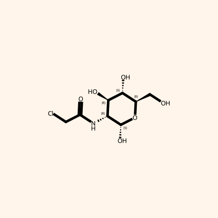 O=C(CCl)N[C@@H]1[C@@H](O)[C@H](O)[C@@H](CO)O[C@@H]1O